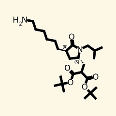 CC(C)CN1C(=O)[C@H](CCCCCCN)C[C@H]1CC(C(=O)OC(C)(C)C)C(=O)OC(C)(C)C